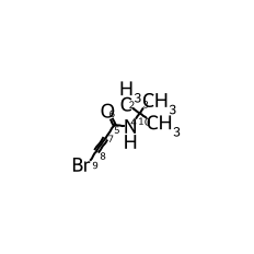 CC(C)(C)NC(=O)C#CBr